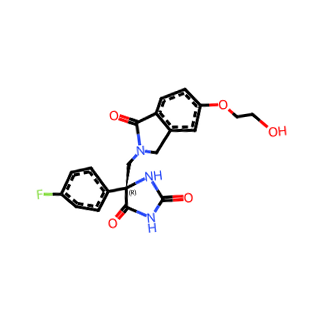 O=C1NC(=O)[C@](CN2Cc3cc(OCCO)ccc3C2=O)(c2ccc(F)cc2)N1